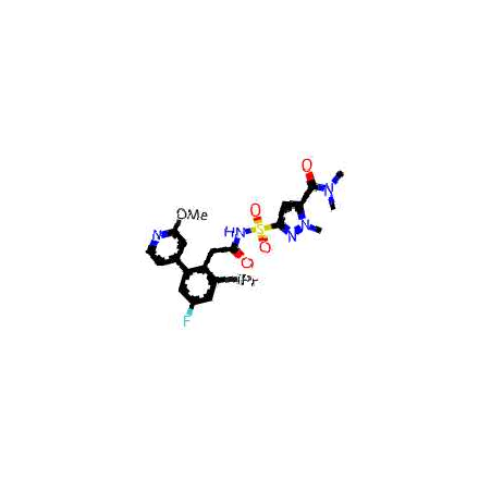 COc1cc(-c2cc(F)cc(C(C)C)c2CC(=O)NS(=O)(=O)c2cc(C(=O)N(C)C)n(C)n2)ccn1